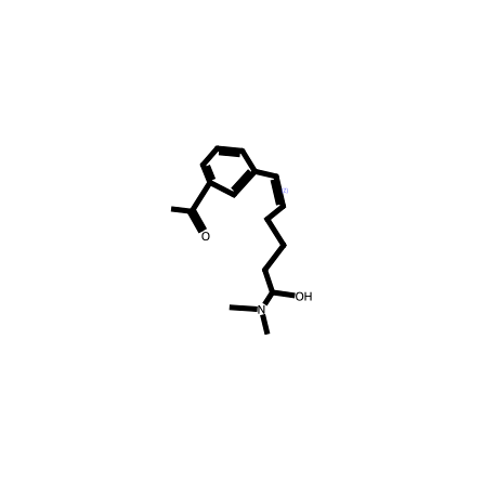 CC(=O)c1cccc(/C=C\CCCC(O)N(C)C)c1